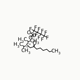 CCCCCCC(=O)C[S+](C(C)C)C(C)C.O=S(=O)([O-])C(F)(F)C(F)(F)C(F)(F)C(F)(F)F